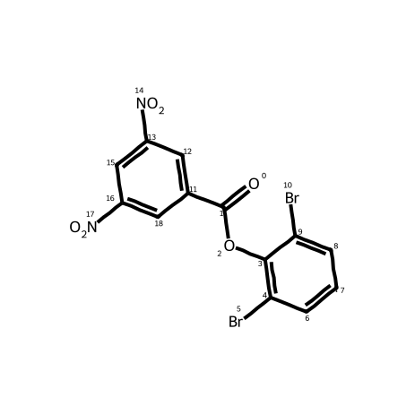 O=C(Oc1c(Br)c[c]cc1Br)c1cc([N+](=O)[O-])cc([N+](=O)[O-])c1